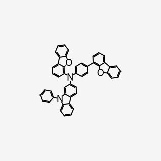 c1ccc(-n2c3ccccc3c3ccc(N(c4ccc(-c5cccc6c5oc5ccccc56)cc4)c4cccc5c4oc4ccccc45)cc32)cc1